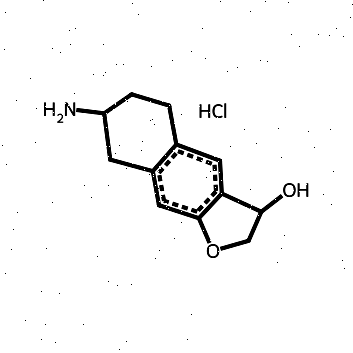 Cl.NC1CCc2cc3c(cc2C1)OCC3O